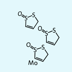 O=S1C=CCS1.O=S1C=CCS1.O=S1C=CCS1.[Mo]